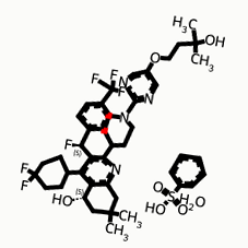 CC(C)(O)CCOc1cnc(N2CCC(c3nc4c(c(C5CCC(F)(F)CC5)c3[C@@H](F)c3ccc(C(F)(F)F)cc3)[C@@H](O)CC(C)(C)C4)CC2)nc1.O.O=S(=O)(O)c1ccccc1